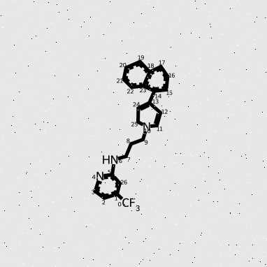 FC(F)(F)c1ccnc(NCCCN2C=CC(c3cccc4ccccc34)=CC2)c1